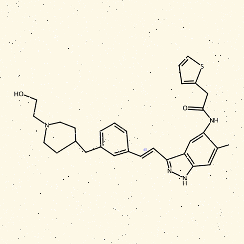 Cc1cc2[nH]nc(/C=C/c3cccc(CC4CCN(CCO)CC4)c3)c2cc1NC(=O)Cc1cccs1